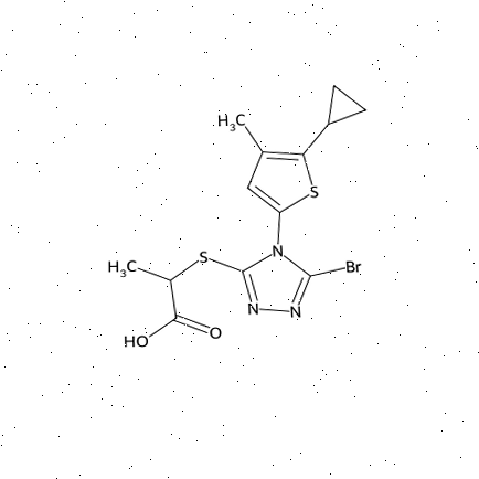 Cc1cc(-n2c(Br)nnc2SC(C)C(=O)O)sc1C1CC1